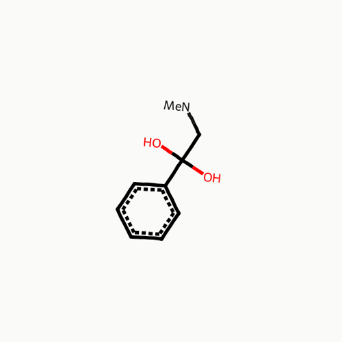 CNCC(O)(O)c1ccccc1